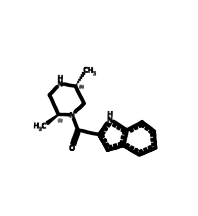 C[C@@H]1CN(C(=O)c2cc3ccccc3[nH]2)[C@@H](C)CN1